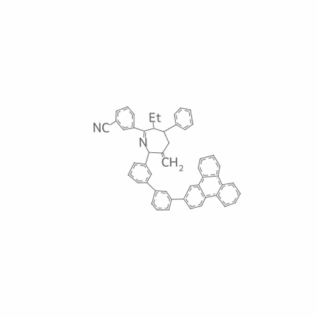 C=C1CC(c2ccccc2)C(CC)C(c2cccc(C#N)c2)=NC1c1cccc(-c2cccc(-c3ccc4c5ccccc5c5ccccc5c4c3)c2)c1